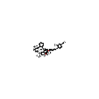 CC(SC1COC(C=CC=Cc2ccc(C#N)cc2F)OC1)C(Cn1cncn1)(OC(=O)c1ccccc1CO)c1ccc(F)cc1F